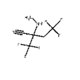 CNC(C#N)(CC(F)(F)F)C(F)(F)F